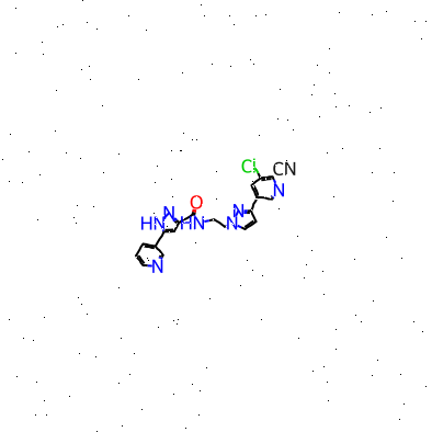 N#Cc1ncc(-c2ccn(CCNC(=O)c3cc(-c4cccnc4)[nH]n3)n2)cc1Cl